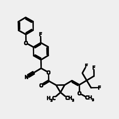 COC(=CC1C(C(=O)OC(C#N)c2ccc(F)c(Oc3ccccc3)c2)C1(C)C)C(CF)(CF)CF